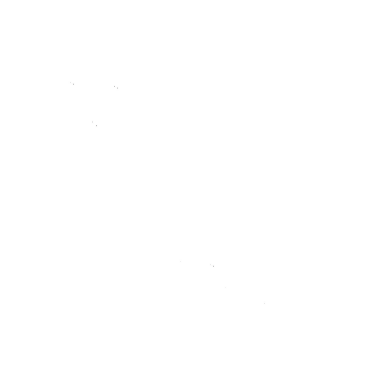 CCOC(=O)CCN1CCc2cc(Oc3cccc4c3nc(N)n4C)ccc2C1=O